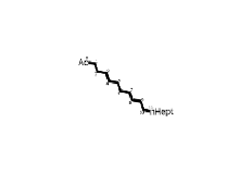 [C]C(=O)CCCCCCCC=CCCCCCCCC